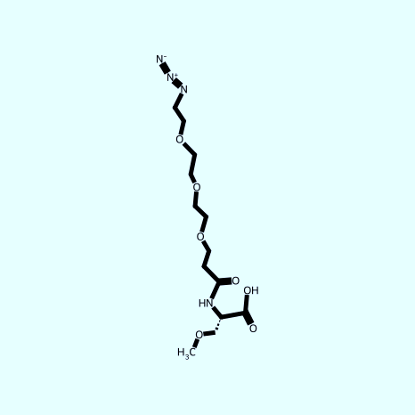 COC[C@H](NC(=O)CCOCCOCCOCCN=[N+]=[N-])C(=O)O